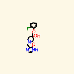 O=c1[nH]ccnc1CN1CCC(O)(COc2ccccc2F)CC1